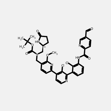 COc1nc(-c2ccnc(-c3cccc(NC(=O)c4ccc(C=O)cn4)c3Cl)c2Cl)ccc1CN(C[C@@H]1CCC(=O)N1)C(=O)OC(C)(C)C